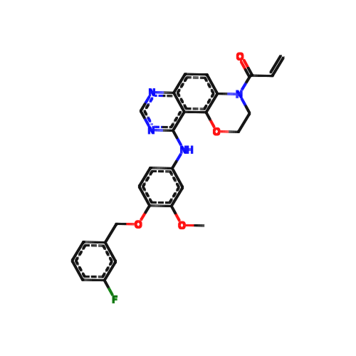 C=CC(=O)N1CCOc2c1ccc1ncnc(Nc3ccc(OCc4cccc(F)c4)c(OC)c3)c21